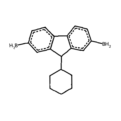 Bc1ccc2c(c1)C(C1CCCCC1)c1cc(B)ccc1-2